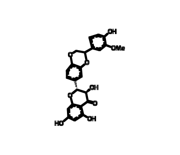 COc1cc(C2COc3ccc([C@H]4Oc5cc(O)cc(O)c5C(=O)[C@@H]4O)cc3O2)ccc1O